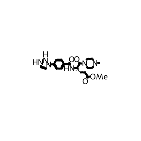 COC(=O)CC[C@H](NC(=O)c1ccc(N2C=CNN2)cc1)C(=O)N1CCN(C)CC1